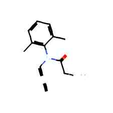 C=C=CN(C(=O)COC)c1c(C)cccc1C